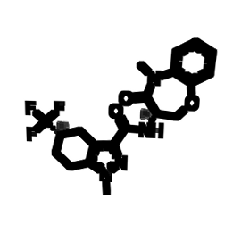 CN1C(=O)[C@@H](NC(=O)c2nn(C)c3c2C[C@@H](C(F)(F)F)CC3)COc2ccccc21